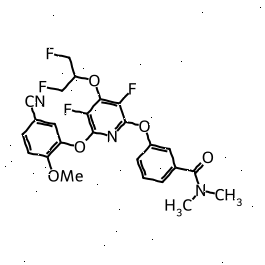 COc1ccc(C#N)cc1Oc1nc(Oc2cccc(C(=O)N(C)C)c2)c(F)c(OC(CF)CF)c1F